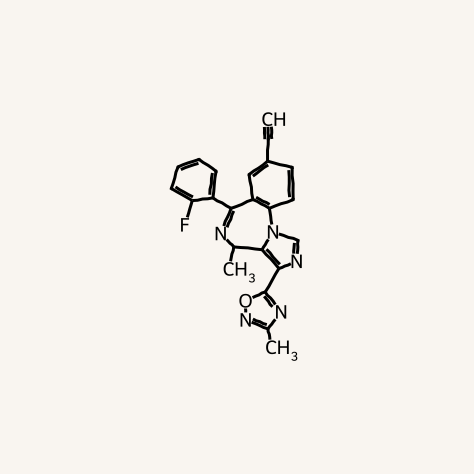 C#Cc1ccc2c(c1)C(c1ccccc1F)=NC(C)c1c(-c3nc(C)no3)ncn1-2